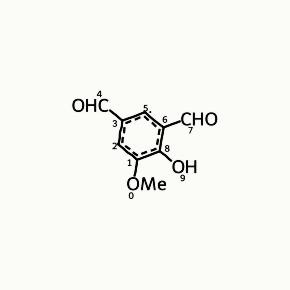 COc1cc(C=O)[c]c(C=O)c1O